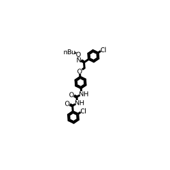 CCCCON=C(COc1ccc(NC(=O)NC(=O)c2ccccc2Cl)cc1)c1ccc(Cl)cc1